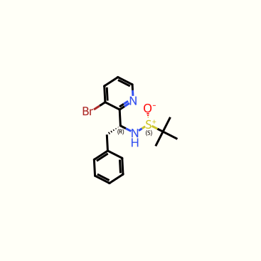 CC(C)(C)[S@@+]([O-])N[C@H](Cc1ccccc1)c1ncccc1Br